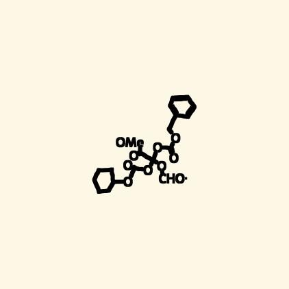 COC(=O)C(O[C]=O)(OC(=O)OCc1ccccc1)OC(=O)OC1CCCCC1